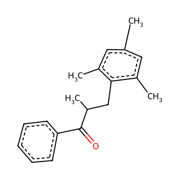 Cc1cc(C)c(CC(C)C(=O)c2ccccc2)c(C)c1